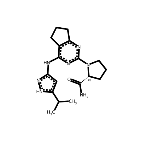 CC(C)c1cc(Nc2nc(N3CCC[C@@H]3C(N)=O)nc3c2CCC3)n[nH]1